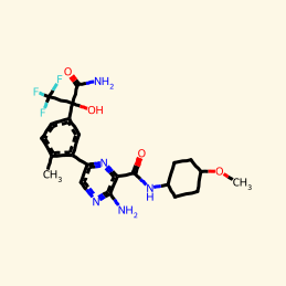 COC1CCC(NC(=O)c2nc(-c3cc(C(O)(C(N)=O)C(F)(F)F)ccc3C)cnc2N)CC1